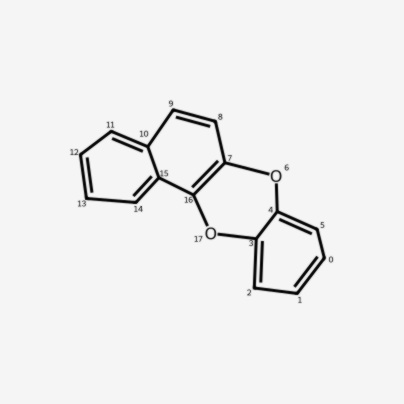 c1ccc2c(c1)Oc1ccc3ccccc3c1O2